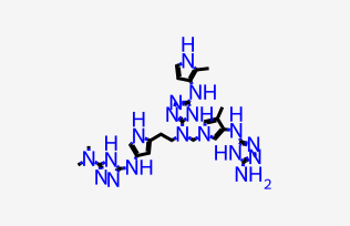 Cc1cn(CN(CCc2cc(Nc3nnc(N(C)C)[nH]3)c[nH]2)c2nnc(Nc3cc[nH]c3C)[nH]2)cc1Nc1nnc(N)[nH]1